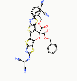 N#CC(C#N)=Cc1nc2sc3c(c2s1)C(C(=O)OCc1ccccc1)(C(=O)OCc1ccccc1)Oc1c-3sc2nc(N=C(C#N)C#N)sc12